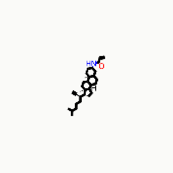 C#C[C@H](CCCC(C)C)[C@H]1CCC2[C@@H]3CCC4C[C@H](NC(=O)C=C)CC[C@]4(C)C3CC[C@@]21C